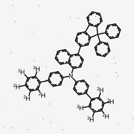 [2H]c1c([2H])c([2H])c(-c2ccc(N(c3ccc(-c4c([2H])c([2H])c([2H])c([2H])c4[2H])cc3)c3ccc(-c4ccc5c(c4)C(c4ccccc4)(c4ccccc4)c4ccccc4-5)c4ccccc34)cc2)c([2H])c1[2H]